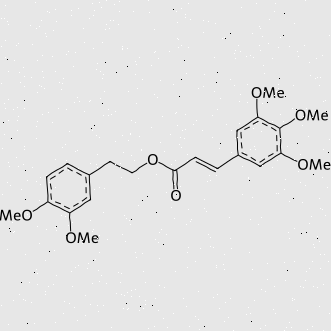 COc1ccc(CCOC(=O)/C=C/c2cc(OC)c(OC)c(OC)c2)cc1OC